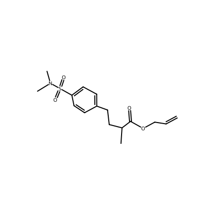 C=CCOC(=O)C(C)CCc1ccc(S(=O)(=O)N(C)C)cc1